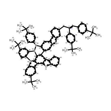 CC(C)(C)c1ccc(/C=C(/Cc2ccc3c(c2)sc2cc4c(cc23)N(c2ccc(C(C)(C)C)cc2)B2c3cc(C(C)(C)C)ccc3-n3c5ccc(C(C)(C)C)cc5c5c6oc7ccccc7c6c-4c2c53)c2ccc(C(C)(C)C)cc2)cc1